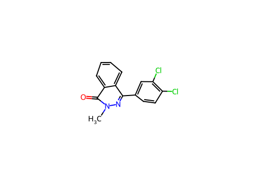 Cn1nc(-c2ccc(Cl)c(Cl)c2)c2ccccc2c1=O